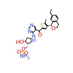 CCc1ccc2c(c1)[C@H](c1cc(C(=O)c3cncnc3N[C@@H]3C[C@H](COS(N)(=O)=O)[C@@H](O)C3)sc1C)OCC2